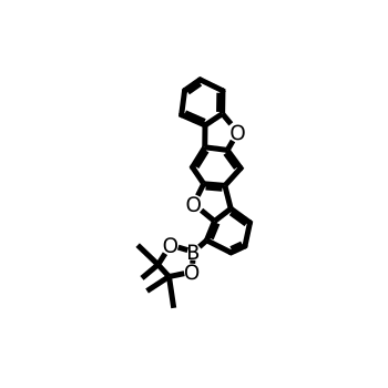 CC1(C)OB(c2cccc3c2oc2cc4c(cc23)oc2ccccc24)OC1(C)C